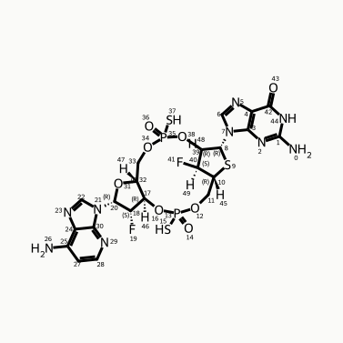 Nc1nc2c(ncn2[C@@H]2S[C@@H]3COP(=O)(S)O[C@H]4[C@H](F)[C@H](n5cnc6c(N)ccnc65)O[C@@H]4COP(=O)(S)O[C@@H]2[C@@H]3F)c(=O)[nH]1